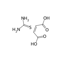 NC(N)=S.O=C(O)/C=C\C(=O)O